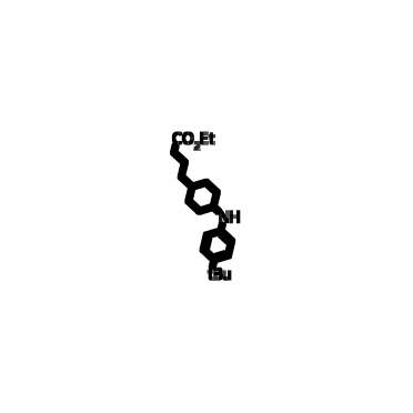 CCOC(=O)CCCC1CCC(Nc2ccc(C(C)(C)C)cc2)CC1